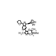 CNC[C@H](C)Oc1c(-c2cc3c(C#C[Si](C(C)C)(C(C)C)C(C)C)nn(C4CCCCO4)c3cn2)c(C)nn1C